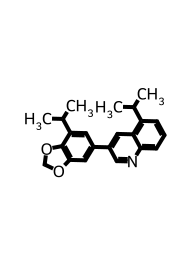 CC(C)c1cc(-c2cnc3cccc(C(C)C)c3c2)cc2c1OCO2